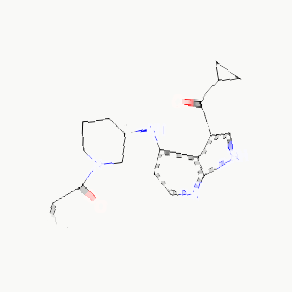 C=CC(=O)N1CCC[C@@H](Nc2ccnc3[nH]cc(C(=O)C4CC4)c23)C1